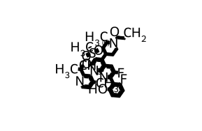 C=CC(=O)N1CCC(c2c(S(C)(=O)=O)c(=O)n(-c3c(C)ccnc3C(C)C)c3nc(-c4c(O)cccc4F)c(F)cc23)C[C@H]1C